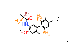 Cc1cc(O)c(NC(=O)C(C)(P)Br)cc1-c1c(P)cc(C)c(C)c1P